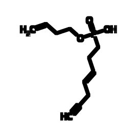 C#CCC=CCCP(=O)(O)OCCC=C